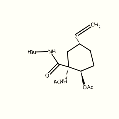 C=C[C@@H]1CC[C@@H](OC(C)=O)[C@@](NC(C)=O)(C(=O)NC(C)(C)C)C1